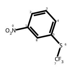 O=[N+]([O-])c1cccc(SC(F)(F)F)c1